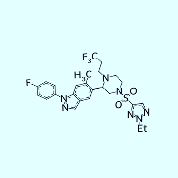 CCn1ncc(S(=O)(=O)N2CCN(CCC(F)(F)F)[C@H](c3cc4cnn(-c5ccc(F)cc5)c4cc3C)C2)n1